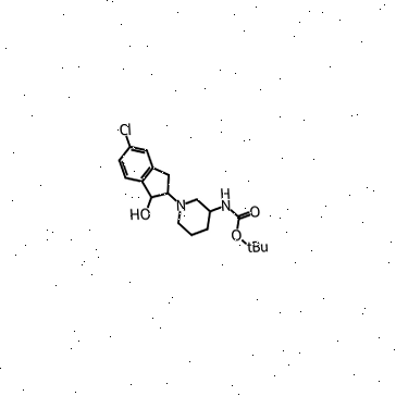 CC(C)(C)OC(=O)NC1CCCN(C2Cc3cc(Cl)ccc3C2O)C1